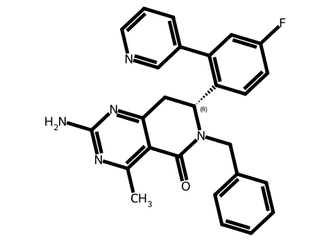 Cc1nc(N)nc2c1C(=O)N(Cc1ccccc1)[C@@H](c1ccc(F)cc1-c1cccnc1)C2